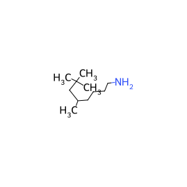 CC(CCCCN)CC(C)(C)C